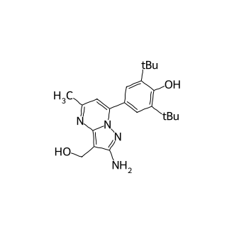 Cc1cc(-c2cc(C(C)(C)C)c(O)c(C(C)(C)C)c2)n2nc(N)c(CO)c2n1